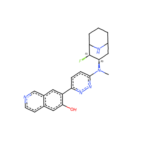 CN(c1ccc(-c2cc3cnccc3cc2O)nn1)[C@@H]1CC2CCCC(N2)[C@@H]1F